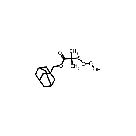 CC(C)(SOOO)C(=O)OCC12CC3CC(CC(C3)C1)C2